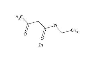 CCOC(=O)CC(C)=O.[Zn]